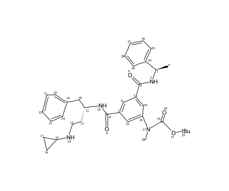 C[C@@H](NC(=O)c1cc(C(=O)N[C@H](CCNC2CC2)Cc2ccccc2)cc(N(C)C(=O)OC(C)(C)C)c1)c1ccccc1